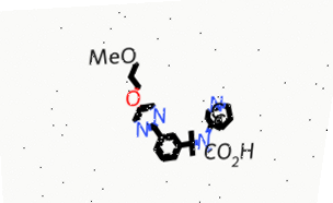 COCCCOc1cnc(-c2cccc(C(C)(C)N(C(=O)O)C3CCN4CCC3CC4)c2)nc1